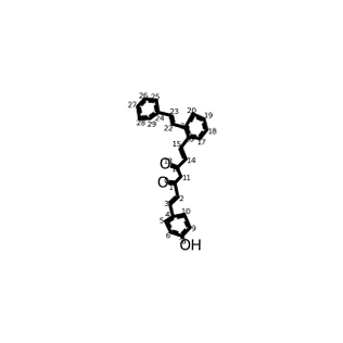 O=C(C=Cc1ccc(O)cc1)CC(=O)C=Cc1ccccc1C=Cc1ccccc1